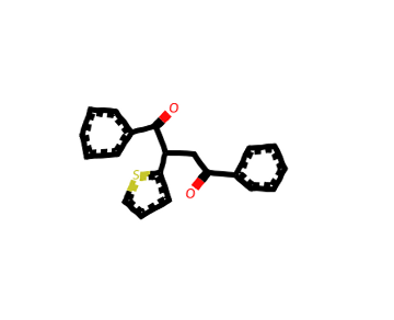 O=C(CC(C(=O)c1ccccc1)c1cccs1)c1ccccc1